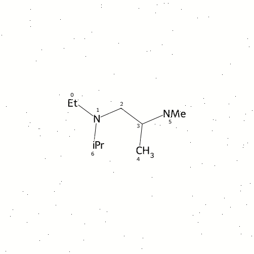 CCN(CC(C)NC)C(C)C